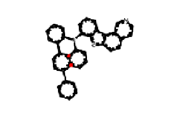 c1ccc(-c2ccc(-c3ccccc3N(c3ccccc3)c3cccc4c3oc3ccc5ccncc5c34)cc2)cc1